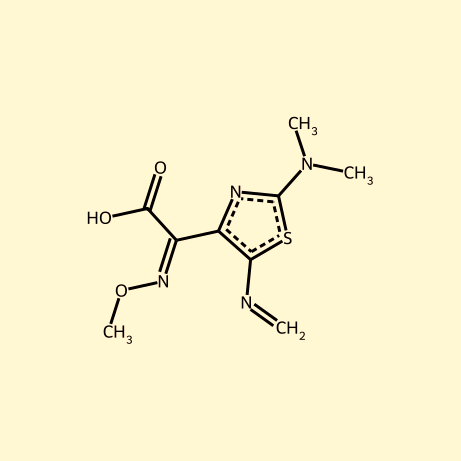 C=Nc1sc(N(C)C)nc1C(=NOC)C(=O)O